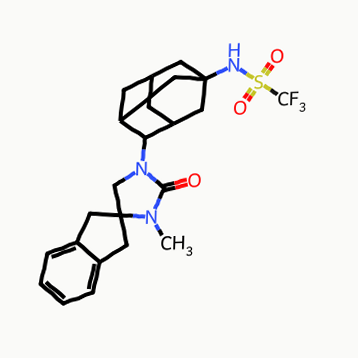 CN1C(=O)N(C2C3CC4CC2CC(NS(=O)(=O)C(F)(F)F)(C4)C3)CC12Cc1ccccc1C2